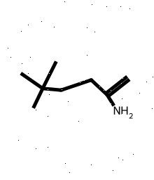 C=C(N)CCC(C)(C)C